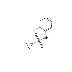 O=S(=O)(Nc1ccccc1F)C1CC1